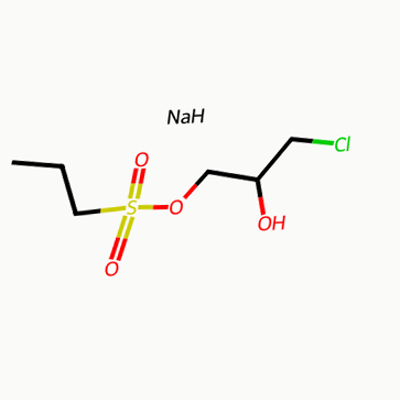 CCCS(=O)(=O)OCC(O)CCl.[NaH]